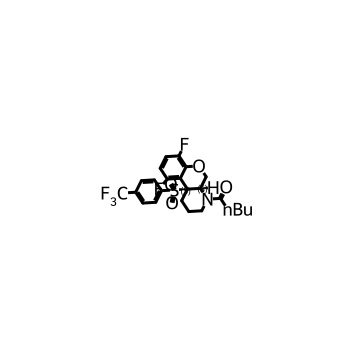 CCCCC(=O)N1CCC[C@]2(S(=O)(=O)c3ccc(C(F)(F)F)cc3)c3c(F)ccc(F)c3OC[C@H]12